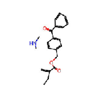 C=C(CC)C(=O)OCc1ccc(C(=O)c2ccccc2)cc1.CNC